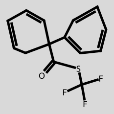 O=C(SC(F)(F)F)C1(c2ccccc2)C=CC=CC1